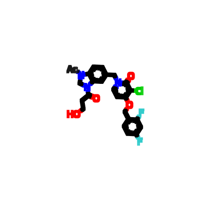 CC(=O)N1CN(C(=O)CCO)c2cc(Cn3ccc(OCc4ccc(F)cc4F)c(Cl)c3=O)ccc21